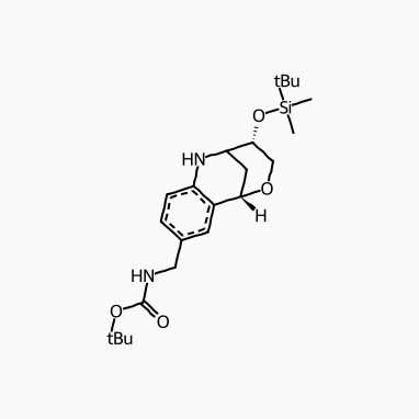 CC(C)(C)OC(=O)NCc1ccc2c(c1)[C@@H]1CC(N2)[C@H](O[Si](C)(C)C(C)(C)C)CO1